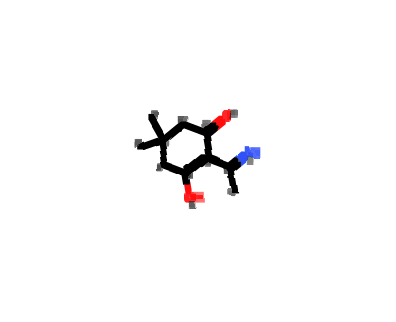 CC(=N)C1=C(O)CC(C)(C)CC1=O